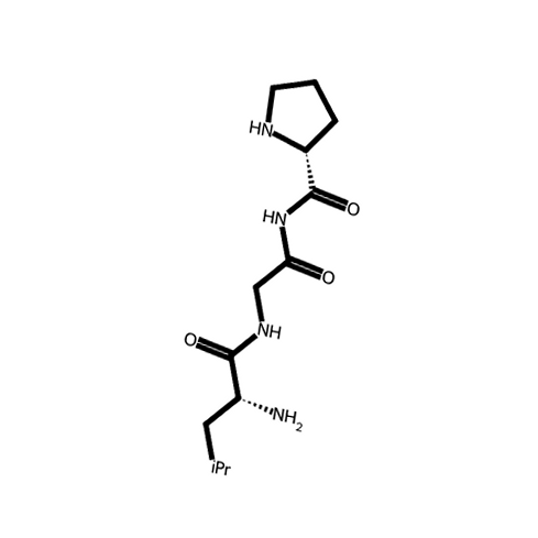 CC(C)C[C@@H](N)C(=O)NCC(=O)NC(=O)[C@H]1CCCN1